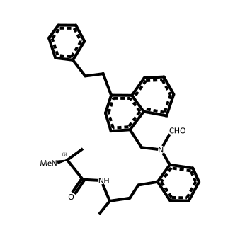 CN[C@@H](C)C(=O)NC(C)CCc1ccccc1N(C=O)Cc1ccc(CCc2ccccc2)c2ccccc12